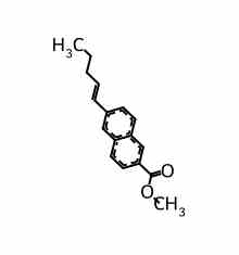 CCCC=Cc1ccc2cc(C(=O)OC)ccc2c1